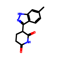 Cc1ccc2c(C3CCC(=O)NC3=O)n[nH]c2c1